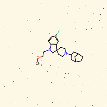 COCCN1CC2(CCN(C3CC4CCC(C4)C3)CC2)c2cc(F)ccc21